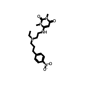 CCN(CCCc1ccc([N+](=O)[O-])cc1)CCNc1cc(=O)n(C)c(=O)n1C